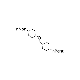 CCCCCCCCCC1CCC(OCC2CCC(CCCCC)CC2)CC1